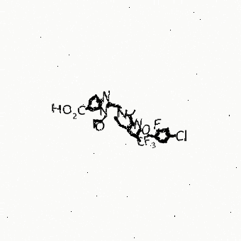 C[C@H]1c2nc(OCc3ccc(Cl)cc3F)c(C(F)(F)F)cc2CCN1Cc1nc2ccc(C(=O)O)cc2n1C[C@@H]1CCO1